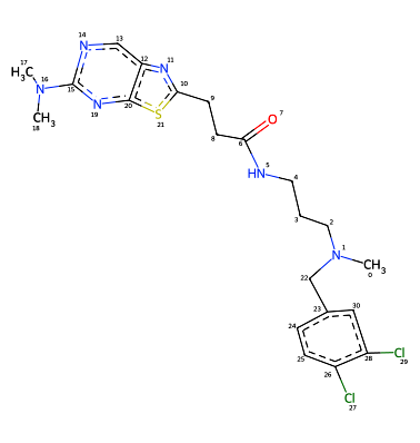 CN(CCCNC(=O)CCc1nc2cnc(N(C)C)nc2s1)Cc1ccc(Cl)c(Cl)c1